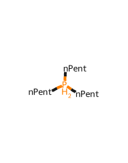 CCCCC[PH2](CCCCC)CCCCC